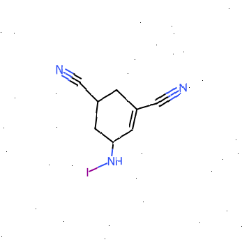 N#CC1=CC(NI)CC(C#N)C1